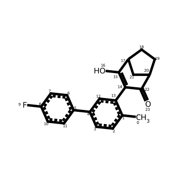 Cc1ccc(-c2ccc(F)cc2)cc1C1=C(O)C2CCC(C2)C1=O